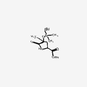 COC(=O)C1CC(C)(O[Si](C)(C)C(C)(C)C)C(=O)N1